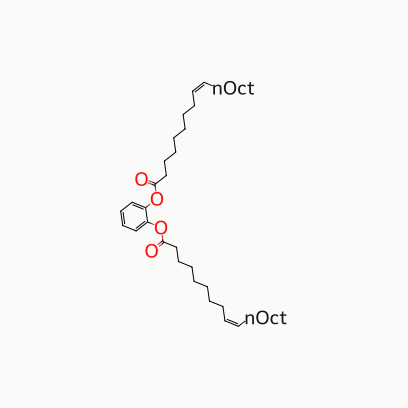 CCCCCCCC/C=C\CCCCCCCC(=O)Oc1ccccc1OC(=O)CCCCCCC/C=C\CCCCCCCC